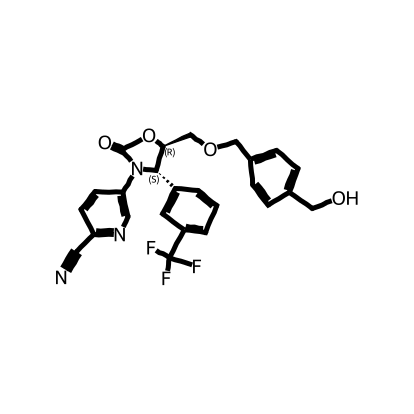 N#Cc1ccc(N2C(=O)O[C@@H](COCc3ccc(CO)cc3)[C@@H]2c2cccc(C(F)(F)F)c2)cn1